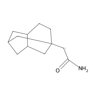 NC(=O)[CH]C12CCC3CC(CC3C1)C2